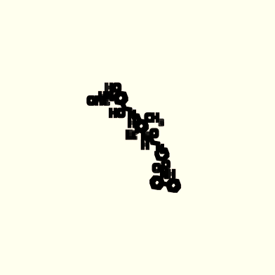 CCc1cc(CNC[C@@H](O)c2ccc(O)c(NC=O)c2)c(C)cc1NC(=O)CCN1CCC(OC(=O)Nc2ccccc2-c2ccccc2)CC1